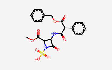 COC(=O)C1C(NC(=O)C(C(=O)OCc2ccccc2)c2ccccc2)C(=O)N1S(=O)(=O)O